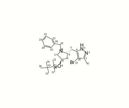 Cc1n[nH]c(C[C@@H]2C[C@@H](O[Si](C)(C)C(C)(C)C)CN2Cc2ccccc2)c1Br